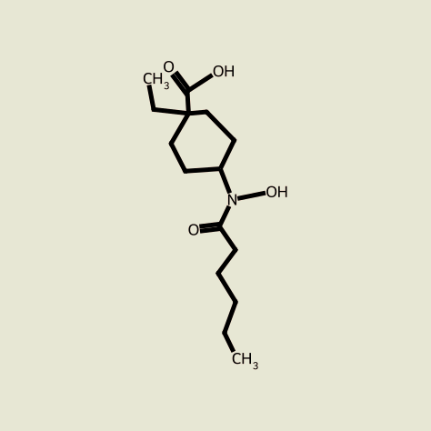 CCCCCC(=O)N(O)C1CCC(CC)(C(=O)O)CC1